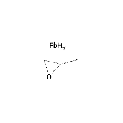 CC1CO1.[PbH2]